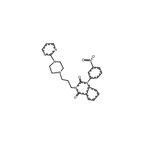 O=c1c2ccccc2n(-c2cccc([N+](=O)[O-])c2)c(=O)n1CCCN1CCN(c2ncccn2)CC1